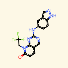 O=c1ccc2cnc(Nc3ccc4[nH]ncc4c3)nc2n1CC(F)(F)F